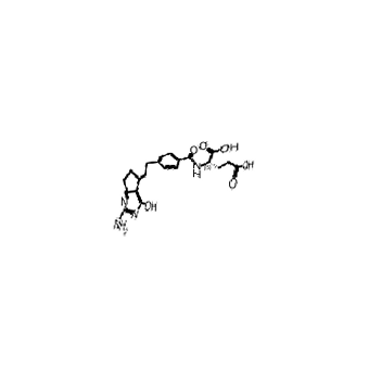 Nc1nc(O)c2c(n1)CCC2CCc1ccc(C(=O)N[C@@H](CCC(=O)O)C(=O)O)cc1